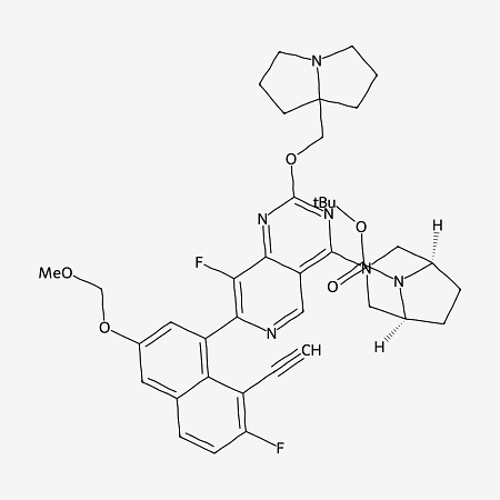 C#Cc1c(F)ccc2cc(OCOC)cc(-c3ncc4c(N5C[C@H]6CC[C@@H](C5)N6C(=O)OC(C)(C)C)nc(OCC56CCCN5CCC6)nc4c3F)c12